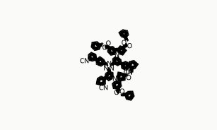 [C-]#[N+]c1cccc(-c2ccc(-c3nc(-c4cc(-c5cccc(C#N)c5)cc(-n5c6ccc(C(=O)OCc7ccccc7)cc6c6cc(C(=O)OCc7ccccc7)ccc65)c4)nc(-c4cc(-c5cccc(C#N)c5)cc(-n5c6ccc(C(=O)OCc7ccccc7)cc6c6cc(C(=O)OCc7ccccc7)ccc65)c4)n3)cc2)c1